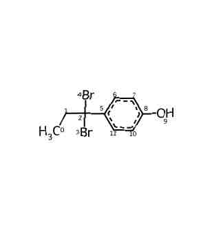 CCC(Br)(Br)c1ccc(O)cc1